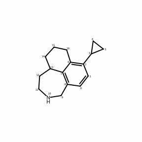 c1cc(C2CC2)c2c3c1CNCCC3CCC2